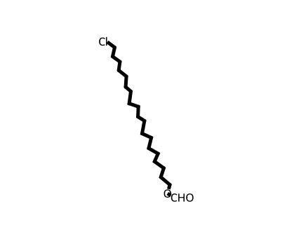 O=[C]OCCCCCCCCCCCCCCCCCCCCl